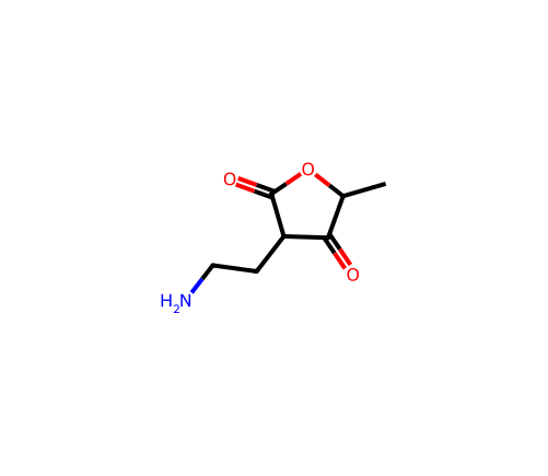 CC1OC(=O)C(CCN)C1=O